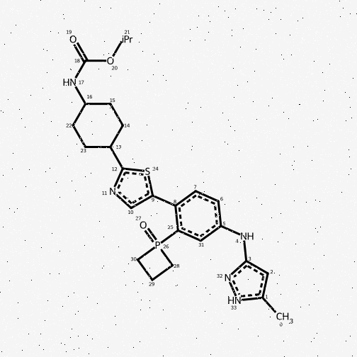 Cc1cc(Nc2ccc(-c3cnc(C4CCC(NC(=O)OC(C)C)CC4)s3)c(P3(=O)CCC3)c2)n[nH]1